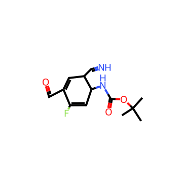 CC(C)(C)OC(=O)NC1C=C(F)C(C=O)=CC1C=N